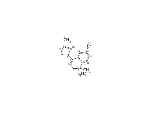 Cc1ccc(C2=CCC(C)(C)c3ccc(Br)cc32)s1